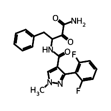 Cn1cc(C(=O)NC(Cc2ccccc2)C(=O)C(N)=O)c(-c2c(F)cccc2F)n1